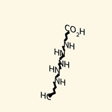 C#CCCCCNCCNCCNCCNCCNCCCCC(=O)O